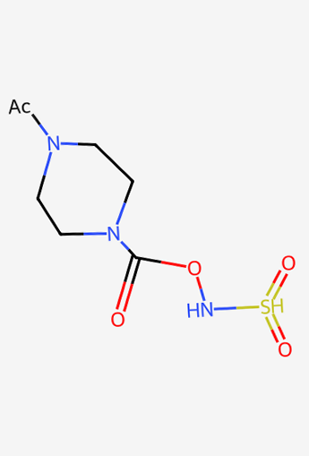 CC(=O)N1CCN(C(=O)ON[SH](=O)=O)CC1